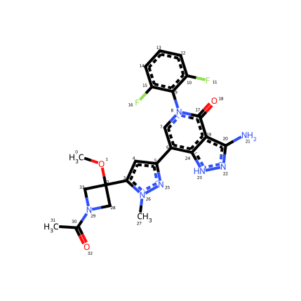 COC1(c2cc(-c3cn(-c4c(F)cccc4F)c(=O)c4c(N)n[nH]c34)nn2C)CN(C(C)=O)C1